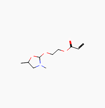 C=CC(=O)OCCOC1OC(C)CN1CC